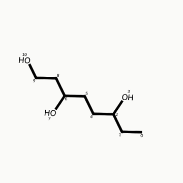 CCC(O)CCC(O)CCO